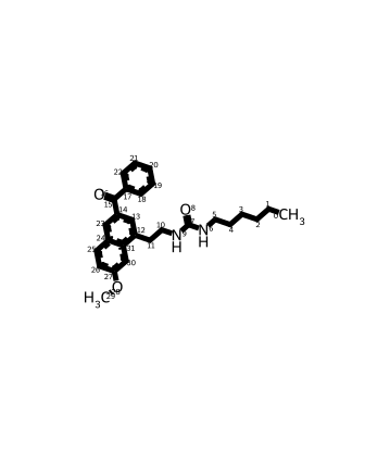 CCCCCCNC(=O)NCCc1cc(C(=O)c2ccccc2)cc2ccc(OC)cc12